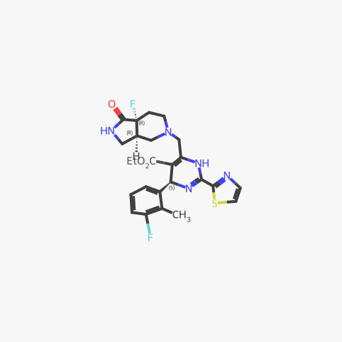 CCOC(=O)C1=C(CN2CC[C@]3(F)C(=O)NC[C@@H]3C2)NC(c2nccs2)=N[C@H]1c1cccc(F)c1C